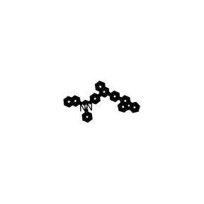 c1ccc(-c2nc(-c3ccc(-c4cc(-c5ccc(-c6ccc7c8c(cccc68)-c6ccccc6-7)cc5)cc5ccccc45)cc3)cc(-c3ccc4ccccc4c3)n2)cc1